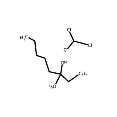 CCCCCC(O)(O)CC.ClC(Cl)Cl